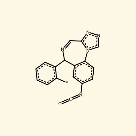 O=C=Nc1ccc2c(c1)C(c1ccccc1F)N=Cc1nncn1-2